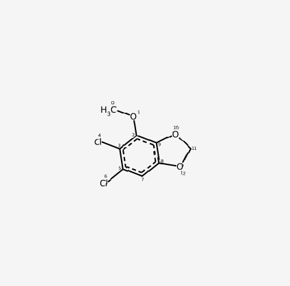 COc1c(Cl)c(Cl)cc2c1OCO2